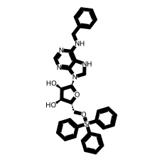 O[C@@H]1[C@H](O)[C@@H](CO[Si](c2ccccc2)(c2ccccc2)c2ccccc2)O[C@H]1N1CNc2c(NCc3ccccc3)ncnc21